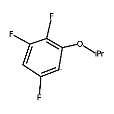 CC(C)Oc1[c]c(F)cc(F)c1F